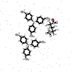 CC(C)(C)c1ccc([S+](c2ccc(C(C)(C)C)cc2)c2ccc(C(C)(C)C)cc2)cc1.CC(C)(C)c1ccc([S+](c2ccc(C(C)(C)C)cc2)c2ccc(C(C)(C)C)cc2)cc1.O=S(=O)([O-])C(F)(F)C(F)(F)C(F)(F)S(=O)(=O)[O-]